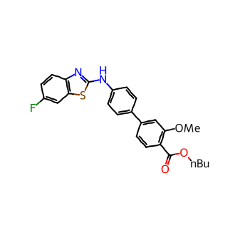 CCCCOC(=O)c1ccc(-c2ccc(Nc3nc4ccc(F)cc4s3)cc2)cc1OC